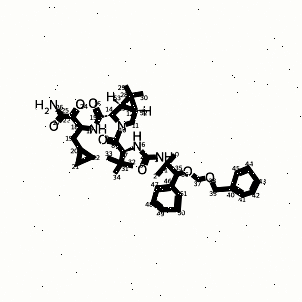 CC(C)(NC(=O)N[C@H](C(=O)N1C[C@H]2[C@@H]([C@H]1C(=O)NC(CC1CC1)C(=O)C(N)=O)C2(C)C)C(C)(C)C)C(OCOCc1ccccc1)c1ccccc1